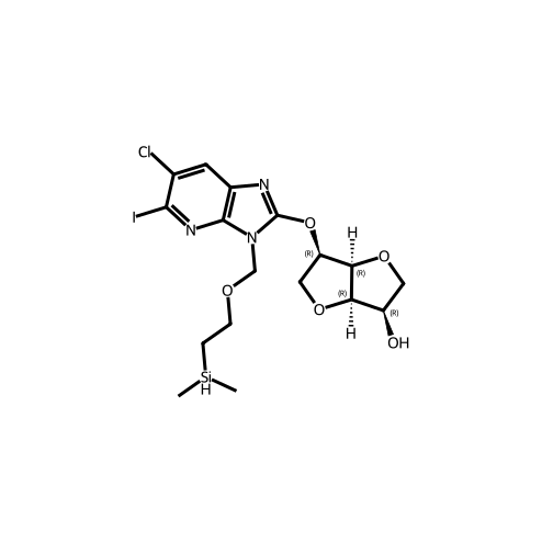 C[SiH](C)CCOCn1c(O[C@@H]2CO[C@H]3[C@@H]2OC[C@H]3O)nc2cc(Cl)c(I)nc21